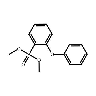 COP(=O)(OC)c1ccccc1Oc1ccccc1